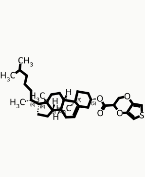 CC(C)CCC[C@@H](C)[C@H]1CC[C@H]2[C@@H]3CC=C4C[C@@H](OC(=O)C5COc6cscc6O5)CC[C@]4(C)[C@H]3CC[C@]12C